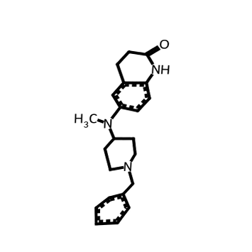 CN(c1ccc2c(c1)CCC(=O)N2)C1CCN(Cc2ccccc2)CC1